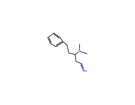 CN(C)C(CC=N)CCc1ccccc1